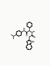 CC(C)c1ccc(NC(=O)C(c2ccccc2)N(C)C(=O)Cc2cc3ccccc3[nH]2)cc1